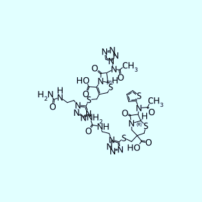 CC(=O)N(C1C(=O)N2C(C(=O)O)=C(CSc3nnnn3CCNC(N)=O)CS[C@H]12)n1cnnn1.CC(=O)N(c1cccs1)C1C(=O)N2CC(CSc3nnnn3CCNC(N)=O)(C(=O)O)CS[C@H]12